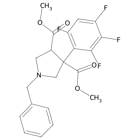 COC(=O)C1CN(Cc2ccccc2)CC1(C(=O)OC)c1c(F)cc(F)c(F)c1F